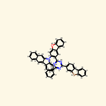 c1ccc(-c2nc(-c3ccc4c(c3)sc3ccccc34)nc(-c3cc4c(cc3-n3c5ccccc5c5cc6ccccc6cc53)oc3ccccc34)n2)cc1